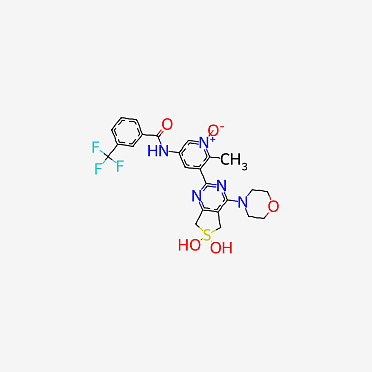 Cc1c(-c2nc3c(c(N4CCOCC4)n2)CS(O)(O)C3)cc(NC(=O)c2cccc(C(F)(F)F)c2)c[n+]1[O-]